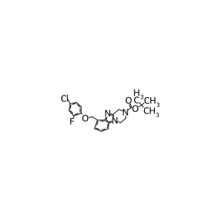 CC(C)(C)OC(=O)N1CCn2c(nc3c(COc4ccc(Cl)cc4F)cccc32)C1